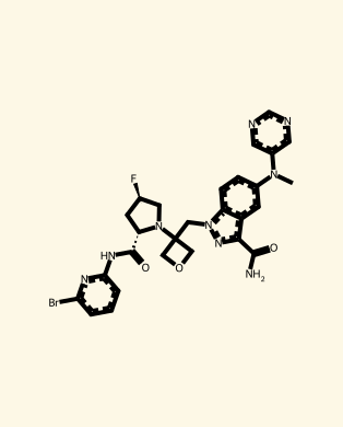 CN(c1cncnc1)c1ccc2c(c1)c(C(N)=O)nn2CC1(N2C[C@H](F)C[C@H]2C(=O)Nc2cccc(Br)n2)COC1